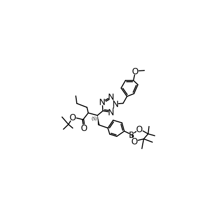 CCCC(C(=O)OC(C)(C)C)[C@H](Cc1ccc(B2OC(C)(C)C(C)(C)O2)cc1)c1nnn(Cc2ccc(OC)cc2)n1